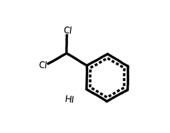 ClC(Cl)c1ccccc1.I